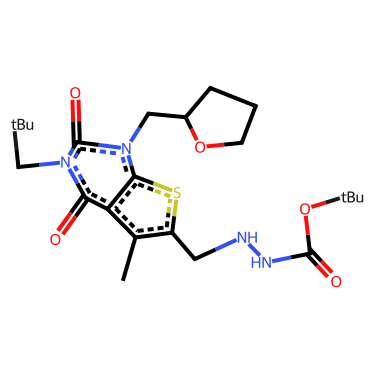 Cc1c(CNNC(=O)OC(C)(C)C)sc2c1c(=O)n(CC(C)(C)C)c(=O)n2CC1CCCO1